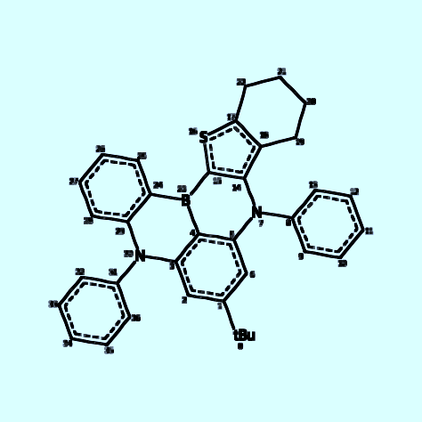 CC(C)(C)c1cc2c3c(c1)N(c1ccccc1)c1c(sc4c1CCCC4)B3c1ccccc1N2c1ccccc1